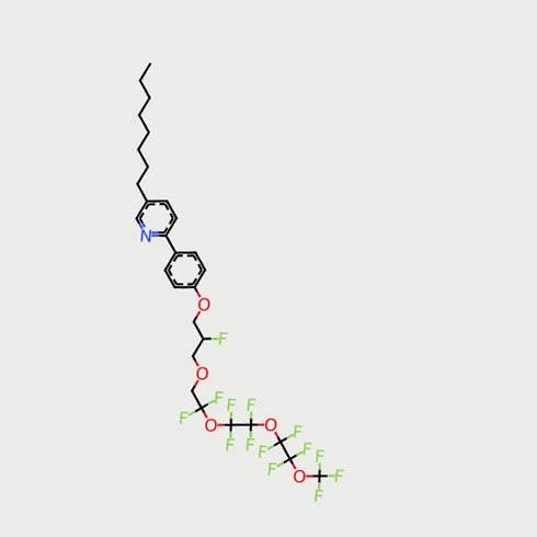 CCCCCCCCc1ccc(-c2ccc(OCC(F)COCC(F)(F)OC(F)(F)C(F)(F)OC(F)(F)C(F)(F)OC(F)(F)F)cc2)nc1